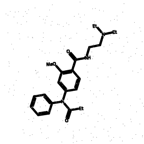 CCC(=O)N(c1ccccc1)c1ccc(C(=O)NCCN(CC)CC)c(OC)c1